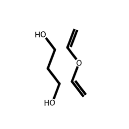 C=COC=C.OCCCO